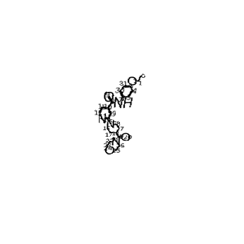 CCOc1ccc(NC(=O)c2ccnc(N3CCC(C(=O)N4CCOCC4)CC3)c2)cc1